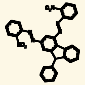 O=[N+]([O-])c1ccccc1/N=N/c1cc(/N=N/c2ccccc2[N+](=O)[O-])c2c(c1)C(c1ccccc1)c1ccccc1-2